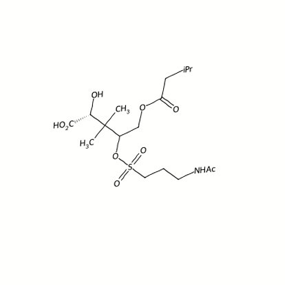 CC(=O)NCCCS(=O)(=O)OC(COC(=O)CC(C)C)C(C)(C)[C@@H](O)C(=O)O